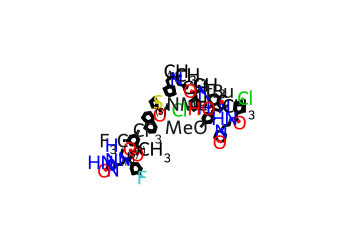 C#CCN(C)[C@H](C)Cc1ccccc1.CC(NC(C)(C)C)C(=O)c1cccc(Cl)c1.CNCC[C@H](Oc1cccc2ccccc12)c1cccs1.COc1ccc(C(CN(C)C)C2(O)CCCCC2)cc1.C[C@@H](O[C@@H]1OCCN(Cc2nc(=O)[nH][nH]2)[C@@H]1c1ccc(F)cc1)c1cc(C(F)(F)F)cc(C(F)(F)F)c1.O=C(NCCN1CCOCC1)c1ccc(Cl)cc1